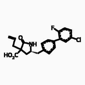 C=CCC1(C(=O)O)C[C@@H](Cc2ccc(-c3cc(Cl)ccc3F)cc2)NC1=O